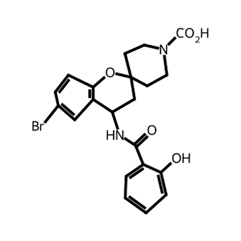 O=C(NC1CC2(CCN(C(=O)O)CC2)Oc2ccc(Br)cc21)c1ccccc1O